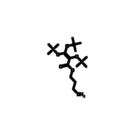 C[Si](C)(C)OC(O[Si](C)(C)C)=C(O[Si](C)(C)C)C(=O)OCCC[SiH3]